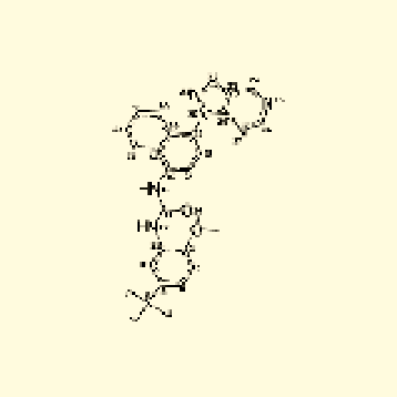 COc1ccc(C(C)(C)C)cc1NC(=O)Nc1ccc(-n2ncc3cncnc32)c2ccccc12